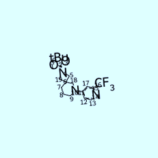 CC(C)(C)OC(=O)N1CC2(CCCN(c3ccnc(C(F)(F)F)c3)C2)C1